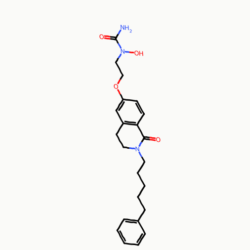 NC(=O)N(O)CCOc1ccc2c(c1)CCN(CCCCCc1ccccc1)C2=O